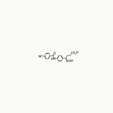 N#Cc1ccc(C(=O)Nc2ccc(/C(CCC(=O)O)=N/O)cc2)cc1